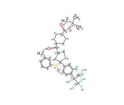 Cc1cccc([S+]([O-])C2(c3ccc(C(F)(C(F)(F)F)C(F)(F)F)cc3)CCN(C(=O)C3CCC(C(=O)OC(C)(C)C)CC3)C2)c1